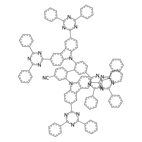 N#Cc1ccc(-c2cc(-c3nc(-c4ccccc4)nc(-c4ccccc4)n3)ccc2-n2c3ccc(-c4nc(-c5ccccc5)nc(-c5ccccc5)n4)cc3c3cc(-c4nc(-c5ccccc5)nc(-c5ccccc5)n4)ccc32)c(-n2c3ccc(-c4nc(-c5ccccc5)nc(-c5ccccc5)n4)cc3c3cc(-c4nc(-c5ccccc5)nc(-c5ccccc5)n4)ccc32)c1